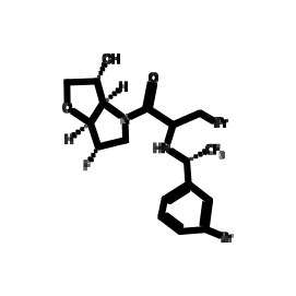 CC(C)CC(N[C@@H](c1cccc(Br)c1)C(F)(F)F)C(=O)N1C[C@H](F)[C@H]2OC[C@H](O)[C@H]21